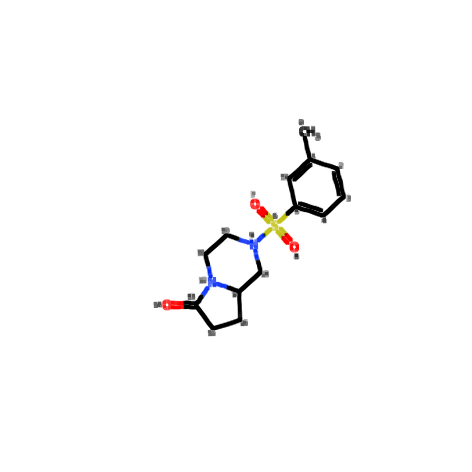 Cc1cccc(S(=O)(=O)N2CCN3C(=O)CCC3C2)c1